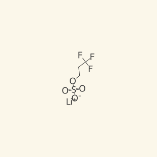 O=S(=O)([O-])OCCC(F)(F)F.[Li+]